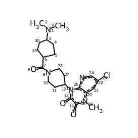 CN(C)C1CCC(C(=O)N2CCC(n3c(=O)c(=O)n(C)c4cc(Cl)cnc43)CC2)CC1